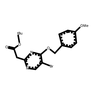 COc1ccc(COc2nc(CC(=O)OC(C)(C)C)ncc2Br)cc1